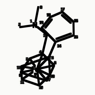 CN(C)C[C]12[CH]3[CH]4[CH]5[CH]1[Fe]45321678[CH]2[CH]1[CH]6[C]7(c1ccccc1)[CH]28